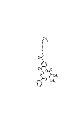 CCCCCCCC(=O)c1ccc(OC(=O)C(C)CC)c(C(=O)OOC(=O)c2ccccc2)c1